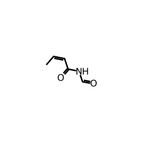 C/C=C\C(=O)NC=O